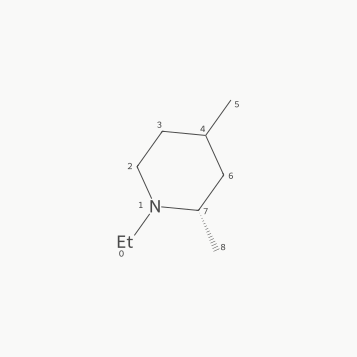 CCN1CCC(C)C[C@@H]1C